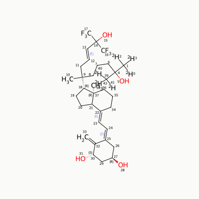 [2H]C([2H])([2H])C(O)(CCCC(C)(C/C=C/C(O)(C(F)(F)F)C(F)(F)F)[C@H]1CCC2/C(=C/C=C3/C[C@@H](O)C[C@H](O)C3=C)CCC[C@@]21C)C([2H])([2H])[2H]